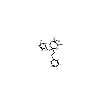 CC1OC(CCc2ccccc2)(Cn2ccnc2)OCC1(C)C